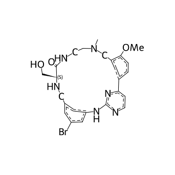 COc1ccc2cc1CN(C)CCNC(=O)[C@H](CO)NCc1cc(Br)cc(c1)Nc1nccc-2n1